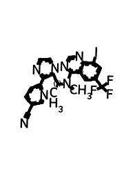 C[C@@H](c1nccnc1-c1ccc(C#N)cn1)N(C)c1ncnc2c(I)cc(C(F)(F)F)cc12